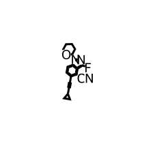 N#Cc1c(C#CC2CC2)ccc2c1c(F)nn2C1CCCCO1